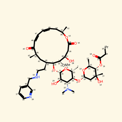 CO[C@@H]1[C@@H](O[C@@H]2O[C@H](C)[C@@H](O[C@H]3C[C@@](C)(O)[C@@H](OC(=O)CC(C)C)[C@H](C)O3)[C@H](N(C)C)[C@H]2O)[C@@H](CCNCc2cccnc2)C[C@@H](C)C(=O)C=CC=CC[C@@H](C)OC(=O)C[C@H]1O